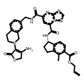 C=CCOC(=O)c1ccc2c(c1C)CC[C@@H]2NC(=O)c1cc(C(=O)NCc2ccc3c(c2)CN(C2=C(N)COC2=O)CC3)nc2ncnn12